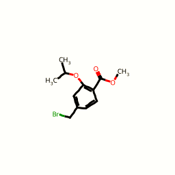 COC(=O)c1ccc(CBr)cc1OC(C)C